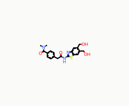 CN(C)C(=O)c1ccc(CC(=O)Nc2nc3cc(CO)c(CO)cc3s2)cc1